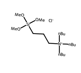 CCCC[N+](CCCC)(CCCC)CCC[Si](OC)(OC)OC.[Cl-]